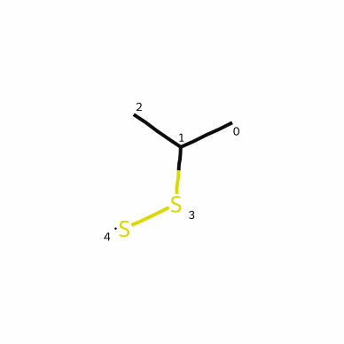 CC(C)S[S]